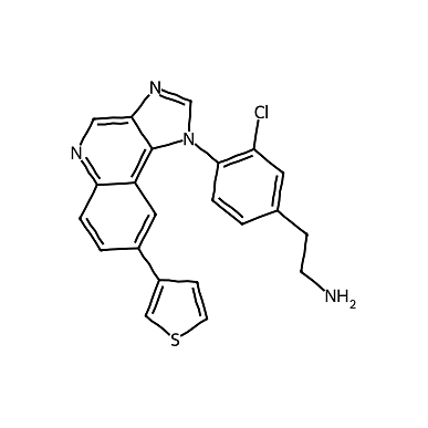 NCCc1ccc(-n2cnc3cnc4ccc(-c5ccsc5)cc4c32)c(Cl)c1